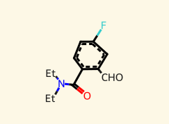 CCN(CC)C(=O)c1ccc(F)cc1C=O